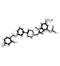 Cn1c(CN2CC=C(c3cccc(OCc4ccc(Cl)cc4F)c3)CC2)nc2c(OC(F)F)cc(C(=O)O)cc21